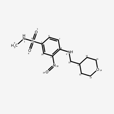 CNS(=O)(=O)c1ccc(NCC2CCOCC2)c(N=O)c1